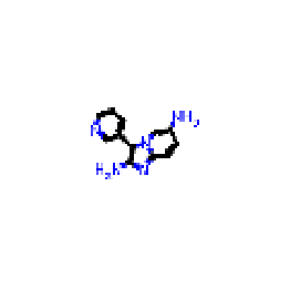 Nc1ccc2nc(N)c(-c3cccnc3)n2c1